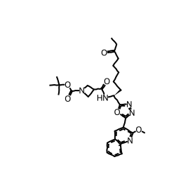 CCC(=O)CCCCC[C@H](NC(=O)C1CN(C(=O)OC(C)(C)C)C1)c1nnc(-c2cc3ccccc3nc2OC)o1